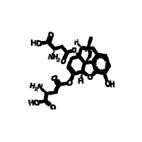 CN1CC[C@]23c4c5ccc(O)c4O[C@H]2C(OC(=O)C[C@H](N)C(=O)O)=CC[C@@]3(OC(=O)C[C@H](N)C(=O)O)[C@H]1C5